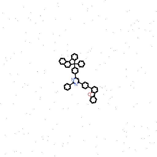 c1ccc(-c2nc(-c3ccc(-c4cccc5c4oc4ccccc45)cc3)cc(-c3ccc(C4(c5ccccc5)c5ccccc5-c5c4ccc4ccccc54)cc3)n2)cc1